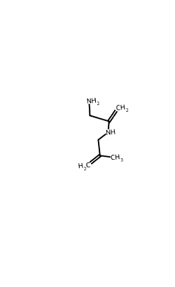 C=C(C)CNC(=C)CN